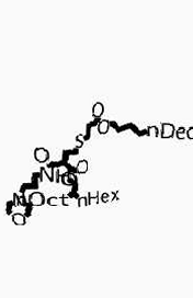 CCCCCCCCCCCCCCOC(=O)CCSCCC(C(=O)NCCCN1CCOCC1)C(=O)OCC(CCCCCC)CCCCCCCC